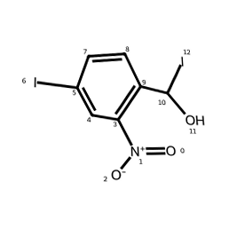 O=[N+]([O-])c1cc(I)ccc1C(O)I